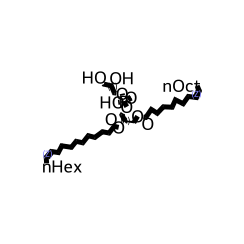 CCCCCC/C=C\CCCCCCCCCC(=O)O[C@H](COC(=O)CCCCCCC/C=C\CCCCCCCC)COP(=O)(O)OC[C@@H](O)CO